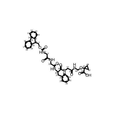 O=C(CNC(=O)OCC1c2ccccc2-c2ccccc21)NCC(=O)NC(Cc1ccccc1)C(=O)NCC(=O)NCOC1(C(=O)O)CC1